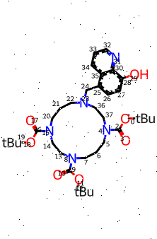 CC(C)(C)OC(=O)N1CCCN(C(=O)OC(C)(C)C)CCN(C(=O)OC(C)(C)C)CCCN(Cc2ccc(O)c3ncccc23)CC1